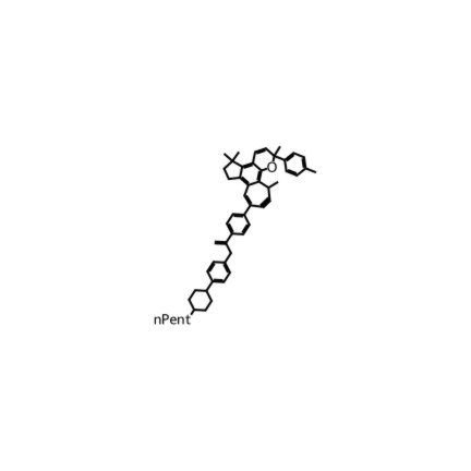 C=C(Cc1ccc(C2CCC(CCCCC)CC2)cc1)c1ccc(C2=Cc3c4c(c5c(c3C(C)C#C2)OC(C)(c2ccc(C)cc2)C=C5)C(C)(C)CC4)cc1